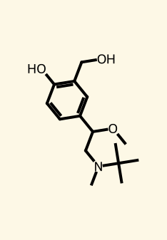 COC(CN(C)C(C)(C)C)c1ccc(O)c(CO)c1